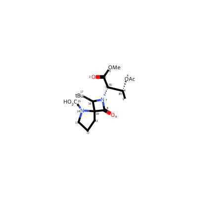 COC(=O)[C@H]([C@@H](C)OC(C)=O)N1C(=O)C2(CCCN2C(=O)O)C1C(C)(C)C